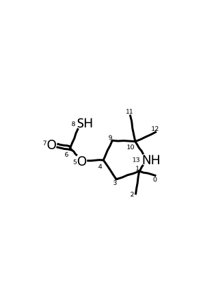 CC1(C)CC(OC(=O)S)CC(C)(C)N1